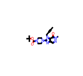 CC#CCn1c(N2CCN(C(=O)OC(C)(C)C)CC2)nc2cnn(C)c(=O)c21